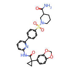 NC(=O)C1CCCN(S(=O)(=O)c2ccc(-c3cccc(NC(=O)C4(c5ccc6c(c5)OCO6)CC4)n3)cc2)C1